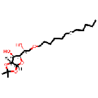 CCCCCCCCCCCCOC[C@@H](O)[C@H]1O[C@@H]2OC(C)(C)O[C@@H]2[C@H]1O